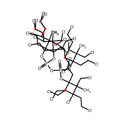 CC(CCl)(C(Cl)(CCCl)CCCl)C(CCCl)(CCCl)OP(=O)(OC(CCCl)(CCCl)C(C)(CCl)C(Cl)(CCCl)CCCl)OP(=O)(OC(CCCl)(CCCl)C(C)(CCl)C(Cl)(CCCl)CCCl)OC(CCCl)(CCCl)C(C)(CCl)C(Cl)(CCCl)CCCl